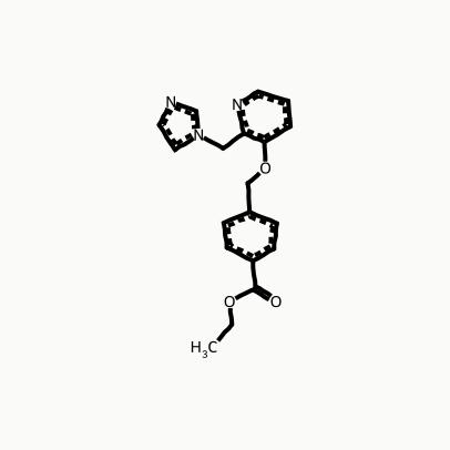 CCOC(=O)c1ccc(COc2cccnc2Cn2ccnc2)cc1